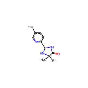 CCCCc1ccc(C2NC(=O)C(C)(C(C)C)N2)nc1